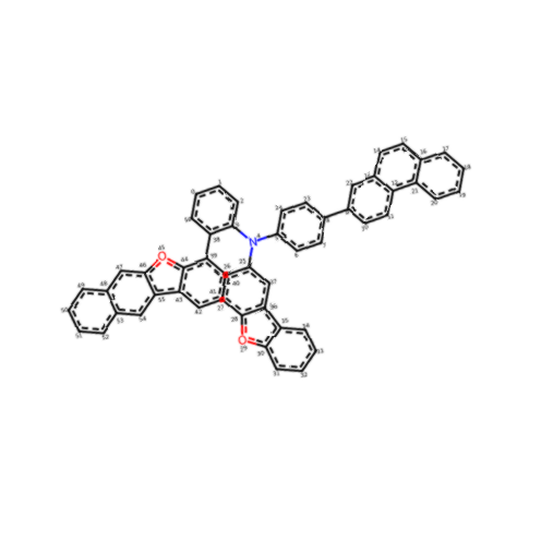 c1ccc(N(c2ccc(-c3ccc4c(ccc5ccccc54)c3)cc2)c2ccc3oc4ccccc4c3c2)c(-c2cccc3c2oc2cc4ccccc4cc23)c1